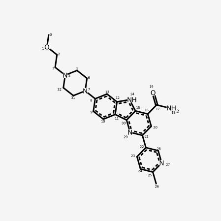 COCCN1CCN(c2ccc3c(c2)[nH]c2c(C(N)=O)cc(-c4ccc(C)nc4)nc23)CC1